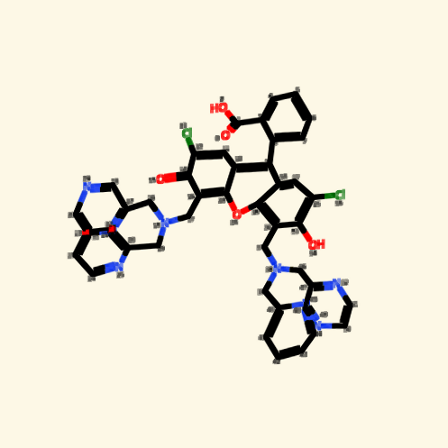 O=C(O)c1ccccc1-c1c2cc(Cl)c(=O)c(CN(Cc3ccccn3)Cc3cnccn3)c-2oc2c(CN(Cc3ccccn3)Cc3cnccn3)c(O)c(Cl)cc12